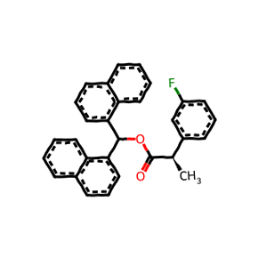 C[C@@H](C(=O)OC(c1cccc2ccccc12)c1cccc2ccccc12)c1cccc(F)c1